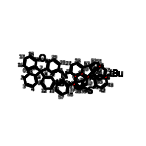 CC1CC=CC=C1C1(c2ccccc2)c2ccccc2Oc2ccc(N(c3ccc4c(c3)C3(c5cc(C(C)(C)C)ccc5Sc5ccc(C(C)(C)C)cc53)c3ccccc3-4)c3ccccc3-c3ccc(-c4ccccc4)cc3)cc21